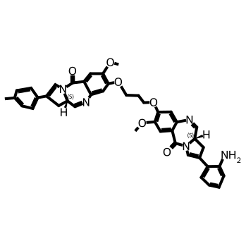 COc1cc2c(cc1OCCCOc1cc3c(cc1OC)C(=O)N1C=C(c4ccccc4N)C[C@H]1C=N3)N=C[C@@H]1CC(c3ccc(C)cc3)=CN1C2=O